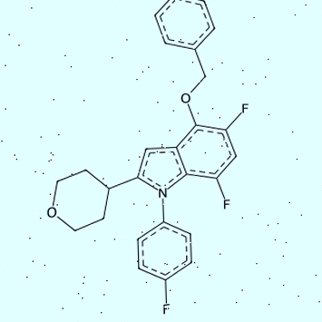 Fc1ccc(-n2c(C3CCOCC3)cc3c(OCc4ccccc4)c(F)cc(F)c32)cc1